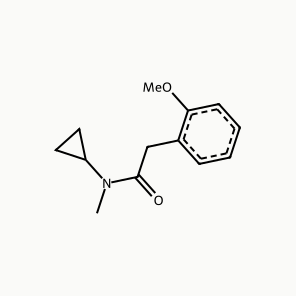 COc1ccccc1CC(=O)N(C)C1CC1